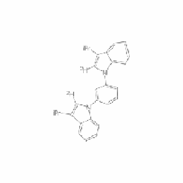 [2H]c1c(C(C)C)c2ccccc2n1-c1cccc(-n2c([2H])c(C(C)C)c3ccccc32)c1